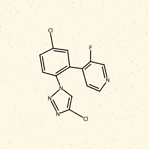 Fc1cnccc1-c1cc(Cl)ccc1-n1cc(Cl)nn1